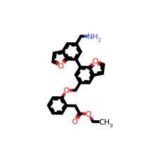 CCOC(=O)Cc1ccccc1OCc1cc(-c2cc(CN)cc3ccoc23)c2occc2c1